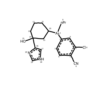 CCC[As](c1ccc(C#N)c(Cl)c1)C1CCCC(O)(c2c[nH]cn2)C1